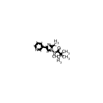 Cc1nc(-c2cccnc2)cn1N(C)C(=O)C(C)(C)C